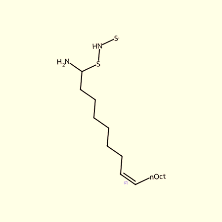 CCCCCCCC/C=C\CCCCCCC(N)SN[S]